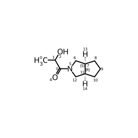 CC(O)C(=O)N1C[C@H]2CCC[C@H]2C1